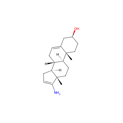 C[C@]12CC[C@H](O)CC1=CC[C@@H]1[C@@H]2CC[C@]2(C)C(N)=CC[C@@H]12